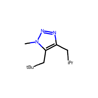 CC(C)Cc1nnn(C)c1CC(C)(C)C